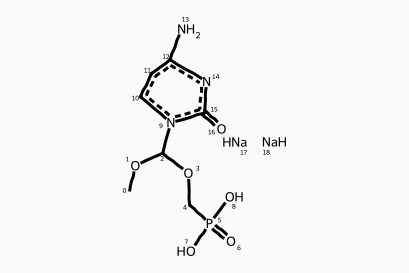 COC(OCP(=O)(O)O)n1ccc(N)nc1=O.[NaH].[NaH]